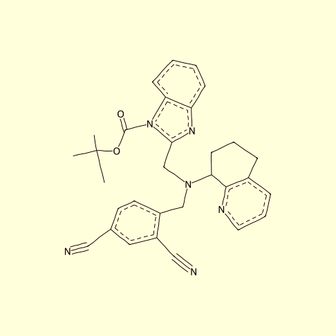 CC(C)(C)OC(=O)n1c(CN(Cc2ccc(C#N)cc2C#N)C2CCCc3cccnc32)nc2ccccc21